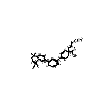 CC1(C)CCC(C)(C)c2cc(-c3cccc(C4=CCC(CCCO)(C(=O)O)C=C4)c3)ccc21